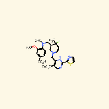 CCOC(=O)C1=C(CN2CCC(C)(F)C(CN(C=O)c3ccc(C(=O)O)cc3OC(F)(F)F)C2)NC(c2nccs2)=NC1